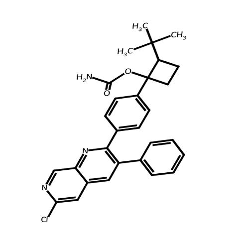 CC(C)(C)C1CCC1(OC(N)=O)c1ccc(-c2nc3cnc(Cl)cc3cc2-c2ccccc2)cc1